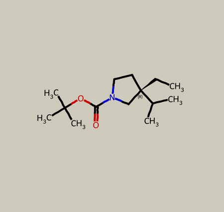 CC[C@]1(C(C)C)CCN(C(=O)OC(C)(C)C)C1